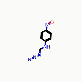 [N-]=[N+]=NCNc1ccc(N=O)cc1